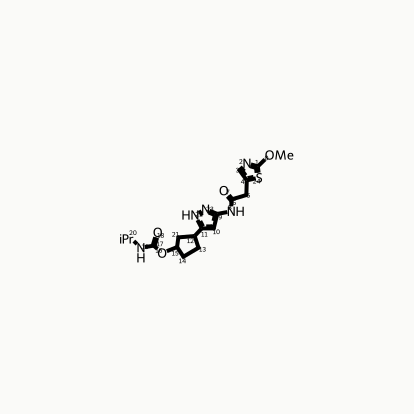 COc1ncc(CC(=O)Nc2cc(C3CCC(OC(=O)NC(C)C)C3)[nH]n2)s1